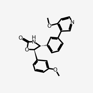 COc1cccc([C@H]2OC(=O)N[C@@H]2c2cccc(-c3cnccc3OC)c2)c1